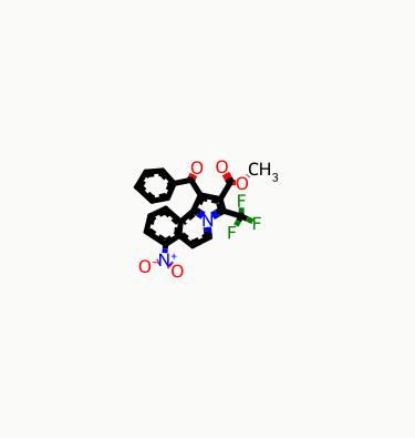 COC(=O)c1c(C(=O)c2ccccc2)c2c3cccc([N+](=O)[O-])c3ccn2c1C(F)(F)F